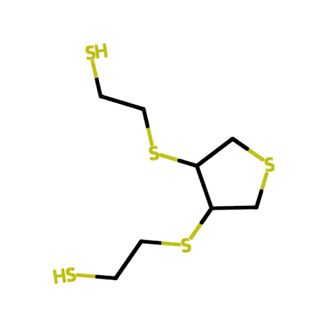 SCCSC1CSCC1SCCS